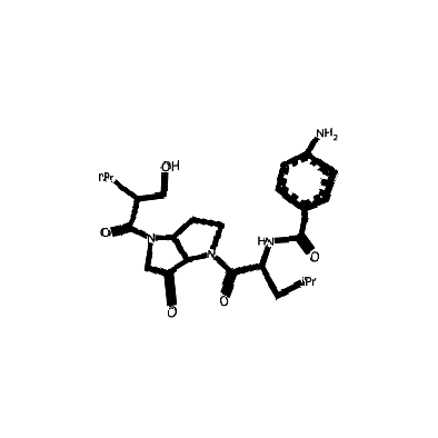 CCCC(CO)C(=O)N1CC(=O)C2C1CCN2C(=O)C(CC(C)C)NC(=O)c1ccc(N)cc1